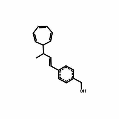 CC(/C=C/c1ccc(CO)cc1)C1C=CC=CC=C1